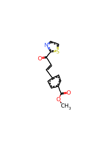 COC(=O)c1ccc(C=CC(=O)c2nccs2)cc1